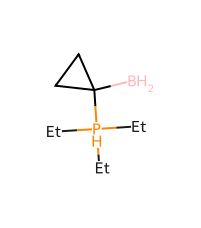 BC1([PH](CC)(CC)CC)CC1